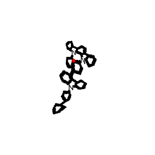 c1ccc(-c2ccc(-n3c4ccccc4c4c(-c5ccc(-n6c7ccccc7c7ccc8c9ccccc9n(-c9ccccc9)c8c76)cc5)cccc43)cc2)cc1